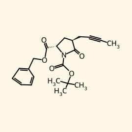 CC#CC[C@@H]1C[C@@H](C(=O)OCc2ccccc2)N(C(=O)OC(C)(C)C)C1=O